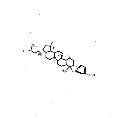 CC(C)[C@@H]1CC[C@]2(NCCN(C)C)CC[C@]3(C)[C@H](CCC4[C@@]5(C)CC[C@H](c6ccc(C(=O)O)cc6)C(C)(C)C5CC[C@]43C)C12